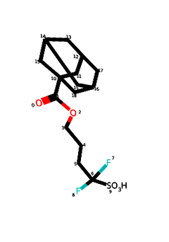 O=C(OCCCC(F)(F)S(=O)(=O)O)C12CC3CC(CC(C3)C1)C2